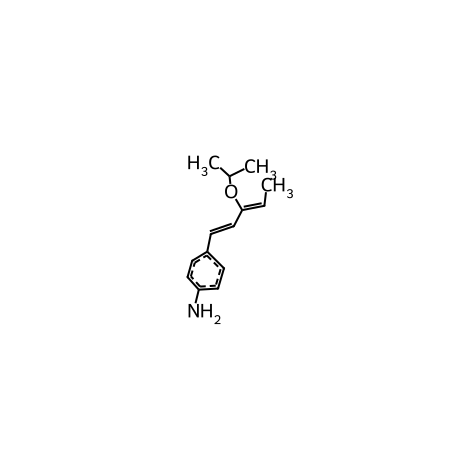 CC=C(/C=C/c1ccc(N)cc1)OC(C)C